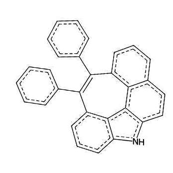 c1ccc(C2=C(c3ccccc3)c3cccc4[nH]c5ccc6cccc2c6c5c34)cc1